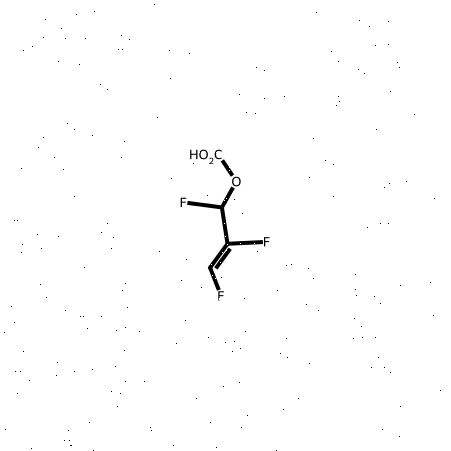 O=C(O)OC(F)C(F)=CF